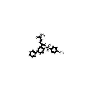 Cc1ccc(S(=O)(=O)n2cc(/C=C/C(N)=O)c3cc(-c4ccccn4)cnc32)cc1